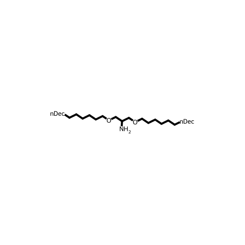 CCCCCCCCCCCCCCCCOCC(N)COCCCCCCCCCCCCCCCC